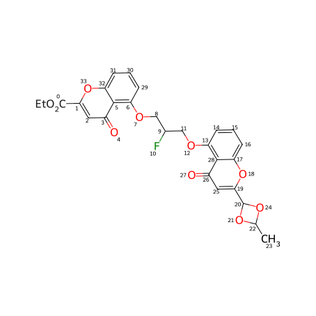 CCOC(=O)c1cc(=O)c2c(OCC(F)COc3cccc4oc(C5OC(C)O5)cc(=O)c34)cccc2o1